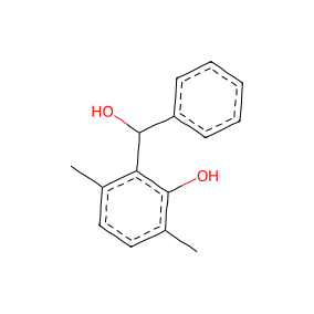 Cc1ccc(C)c(C(O)c2ccccc2)c1O